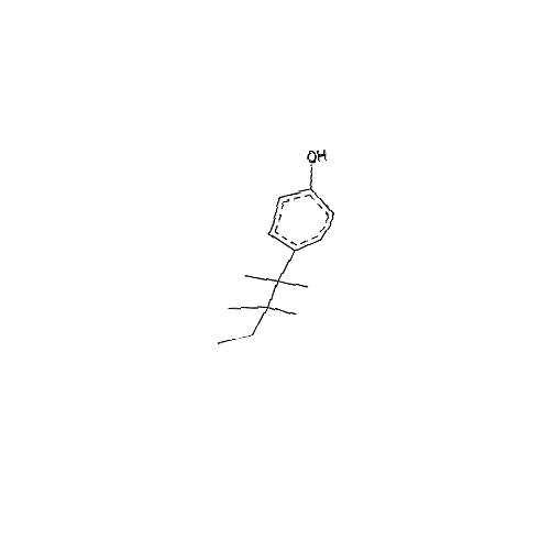 CCC(C)(C)C(C)(C)c1ccc(O)cc1